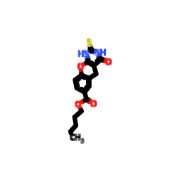 CCCCCOC(=O)c1ccc2c(c1)Cc1c([nH]c(=S)[nH]c1=O)O2